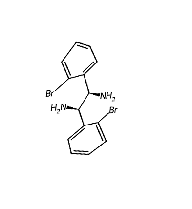 N[C@H](c1ccccc1Br)[C@H](N)c1ccccc1Br